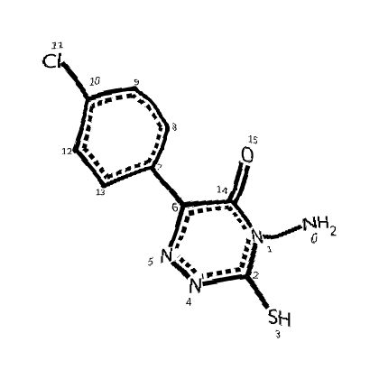 Nn1c(S)nnc(-c2ccc(Cl)cc2)c1=O